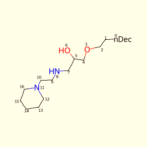 CCCCCCCCCCCCOCC(O)CNCCN1CCCCC1